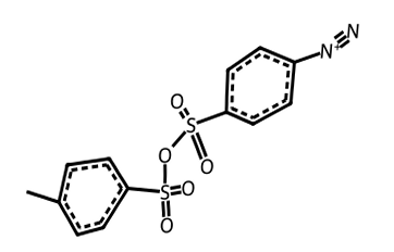 Cc1ccc(S(=O)(=O)OS(=O)(=O)c2ccc([N+]#N)cc2)cc1